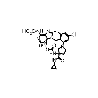 CCc1cc(Cl)cc(N2CC[C@](NC(=O)OC(C)(C)C)(C(=O)NC3CC3)C2)c1Cn1cnc2c(NC(=O)O)ncnc21